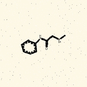 CPCC(=O)Nc1ccccc1